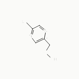 CCc1cnc(COO)cn1